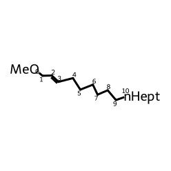 [CH2]OC/C=C/CCCCCCCCCCCCC